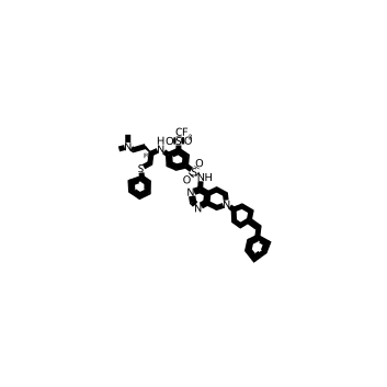 CN(C)CC[C@H](CSc1ccccc1)Nc1ccc(S(=O)(=O)Nc2ncnc3c2CCN(C2CCC(=Cc4ccccc4)CC2)C3)cc1S(=O)(=O)C(F)(F)F